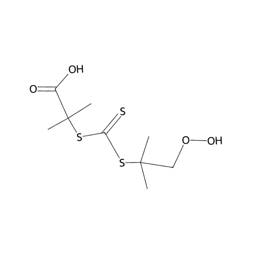 CC(C)(COO)SC(=S)SC(C)(C)C(=O)O